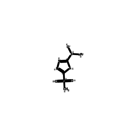 CCC[S+]([O-])c1nnc(S(C)(=O)=O)s1